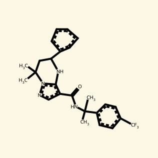 CC(C)(NC(=O)c1cnn2c1NC(c1ccccc1)CC2(C)C)c1ccc(C(F)(F)F)cc1